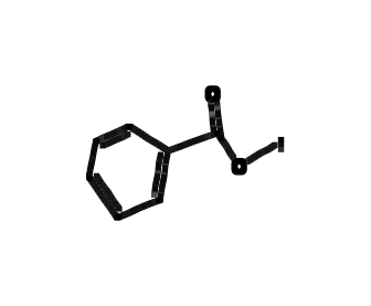 [C]OC(=O)c1ccccc1